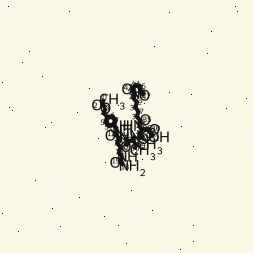 CC(=O)OCc1ccc(NC(=O)C(CCCNC(N)=O)NC(=O)C(NC(=O)C(CS(=O)(=O)O)NC(=O)CCCCCN2C(=O)C=CC2=O)C(C)C)cc1